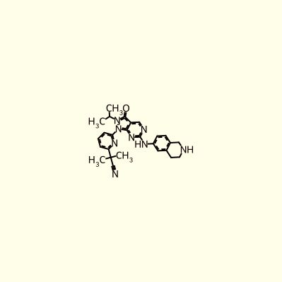 CC(C)n1c(=O)c2cnc(Nc3ccc4c(c3)CCNC4)nc2n1-c1cccc(C(C)(C)C#N)n1